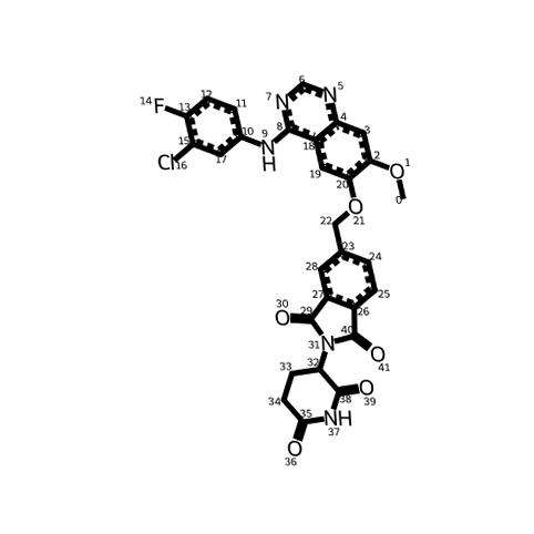 COc1cc2ncnc(Nc3ccc(F)c(Cl)c3)c2cc1OCc1ccc2c(c1)C(=O)N(C1CCC(=O)NC1=O)C2=O